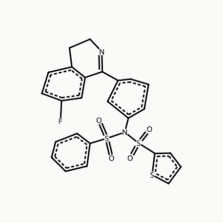 O=S(=O)(c1ccccc1)N(c1cccc(C2=NCCc3ccc(F)cc32)c1)S(=O)(=O)c1cccs1